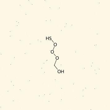 OCOOOS